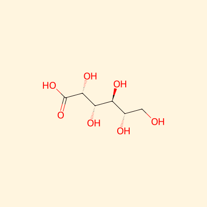 O=C(O)[C@H](O)[C@@H](O)[C@@H](O)[C@@H](O)CO